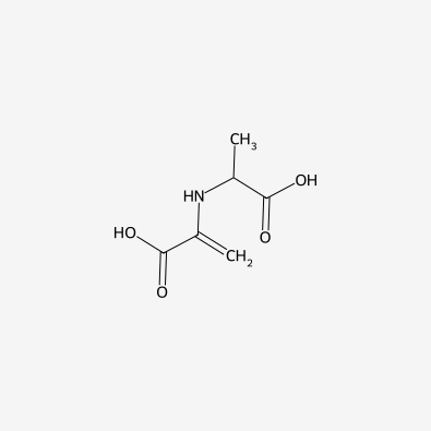 C=C(NC(C)C(=O)O)C(=O)O